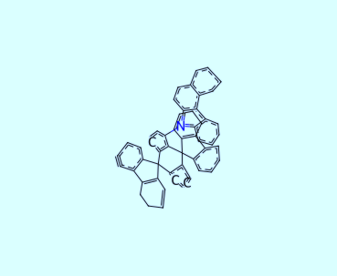 c1ccc2c(c#1)C1=C(C=CCC1)C21c2ccccc2C2(C3=C(CCC=C3)c3ccccc32)c2c(-n3c4ccccc4c4c5ccccc5ccc43)cccc21